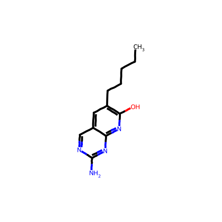 CCCCCc1cc2cnc(N)nc2nc1O